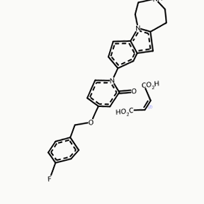 O=C(O)/C=C\C(=O)O.O=c1cc(OCc2ccc(F)cc2)ccn1-c1ccc2c(c1)cc1n2CCNCC1